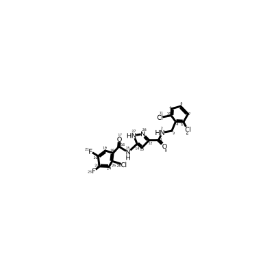 O=C(NCc1c(Cl)cccc1Cl)c1cc(NC(=O)c2cc(F)c(F)cc2Cl)[nH]n1